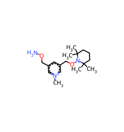 C[n+]1cc(CON)cc(CON2C(C)(C)CCCC2(C)C)c1